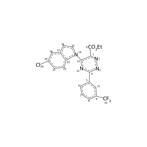 CCOC(=O)c1nnc(-c2cccc(C(F)(F)F)c2)nc1-n1ccc2cc(Cl)ccc21